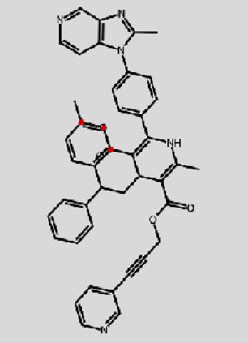 CCOC(=O)C1=C(c2ccc(-n3c(C)nc4cnccc43)cc2)NC(C)=C(C(=O)OCC#Cc2cccnc2)C1CC(c1ccccc1)c1ccccc1